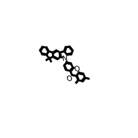 Cc1cc(C)c2c(=O)c3ccc(-n4c5ccccc5c5cc6c(cc54)C(C)(C)c4ccccc4-6)cc3oc2c1